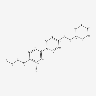 CCCOc1ccc(-c2ccc(CCC3CC[CH]CC3)cc2)cc1F